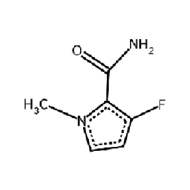 Cn1ccc(F)c1C(N)=O